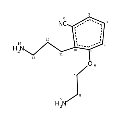 N#Cc1cccc(OCCN)c1CCCN